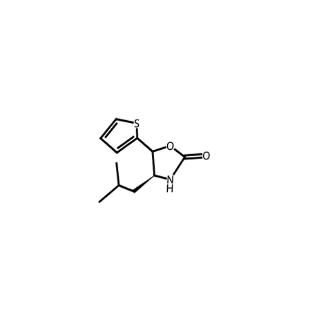 CC(C)C[C@@H]1NC(=O)OC1c1cccs1